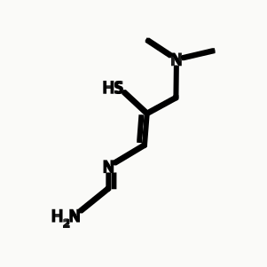 CN(C)C/C(S)=C/N=C/N